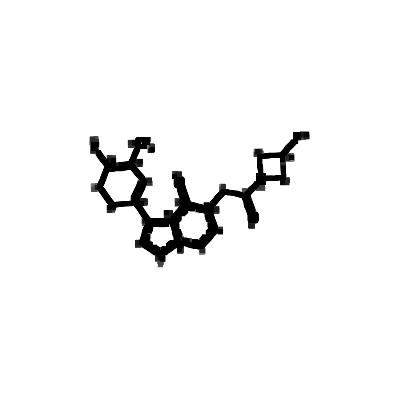 O=C(Cn1ccn2ncc(C3=CC(C(F)(F)F)=C(F)CC3)c2c1=O)N1CC(F)C1